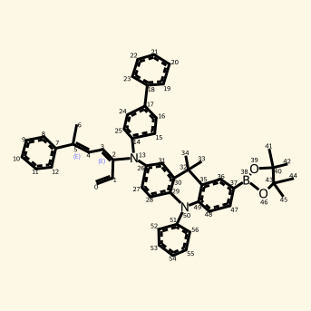 C=C/C(=C\C=C(/C)c1ccccc1)N(c1ccc(-c2ccccc2)cc1)c1ccc2c(c1)C(C)(C)c1cc(B3OC(C)(C)C(C)(C)O3)ccc1N2c1ccccc1